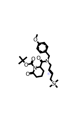 COc1ccc(CN(C/C=C/C[Si](C)(C)C)C(=O)C2CCCC(=O)N2C(=O)OC(C)(C)C)cc1